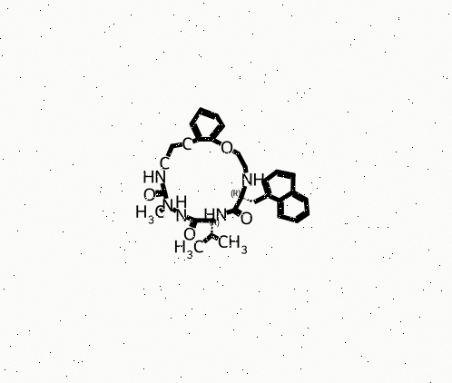 CC(C)[C@H]1NC(=O)[C@@H](Cc2cccc3ccccc23)NCCOc2ccccc2CCCNC(=O)N(C)NC1=O